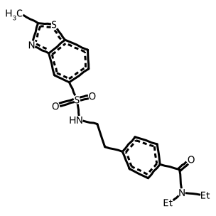 CCN(CC)C(=O)c1ccc(CCNS(=O)(=O)c2ccc3sc(C)nc3c2)cc1